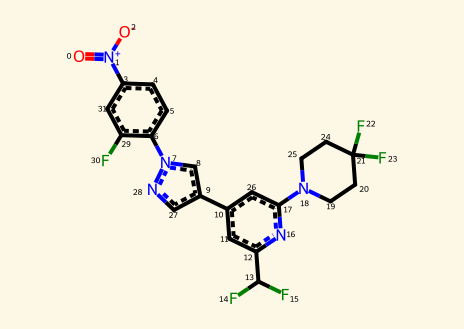 O=[N+]([O-])c1ccc(-n2cc(-c3cc(C(F)F)nc(N4CCC(F)(F)CC4)c3)cn2)c(F)c1